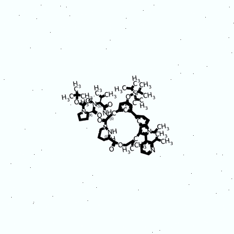 CCn1c(-c2cccnc2C(C)C)c2c3cc(ccc31)-c1cc(cc(O[Si](C(C)C)(C(C)C)C(C)C)c1)C[C@H](NC(=O)[C@H](C(C)C)N(C)C(=O)[C@H]1CCCN1C(=O)OC(C)(C)C)C(=O)N1CCC[C@H](N1)C(=O)OCC(C)(C)C2